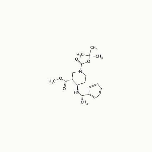 COC(=O)[C@@H]1CN(C(=O)OC(C)(C)C)CC[C@H]1N[C@H](C)c1ccccc1